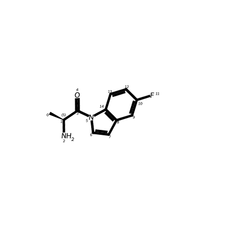 C[C@H](N)C(=O)n1ccc2cc(F)ccc21